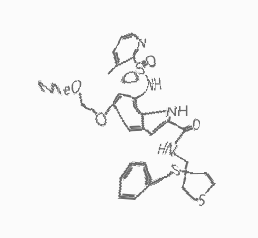 COCCOc1cc(NS(=O)(=O)c2ncccc2C)c2[nH]c(C(=O)NCC3(SCc4ccccc4)CCSCC3)cc2c1